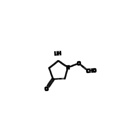 O=CON1CCC(=O)C1.[LiH]